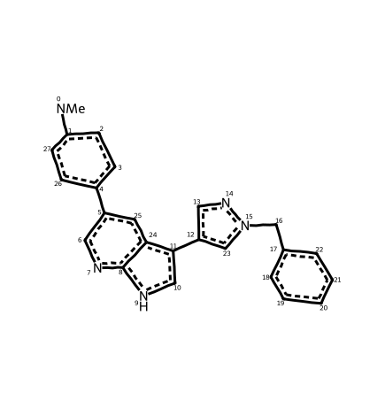 CNc1ccc(-c2cnc3[nH]cc(-c4cnn(Cc5ccccc5)c4)c3c2)cc1